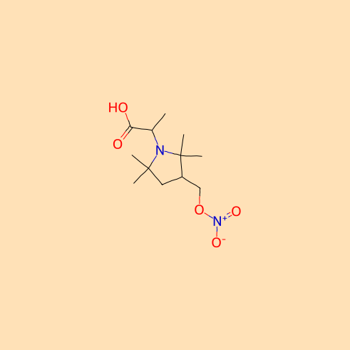 CC(C(=O)O)N1C(C)(C)CC(CO[N+](=O)[O-])C1(C)C